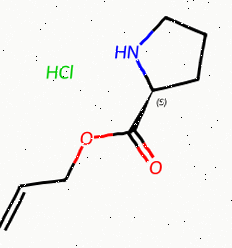 C=CCOC(=O)[C@@H]1CCCN1.Cl